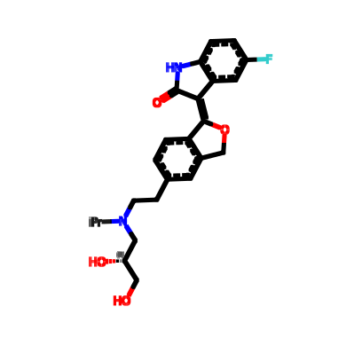 CC(C)N(CCc1ccc2c(c1)COC2=C1C(=O)Nc2ccc(F)cc21)C[C@@H](O)CO